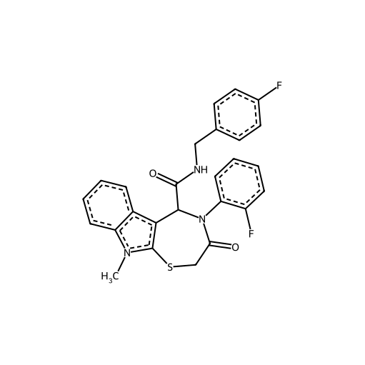 Cn1c2c(c3ccccc31)C(C(=O)NCc1ccc(F)cc1)N(c1ccccc1F)C(=O)CS2